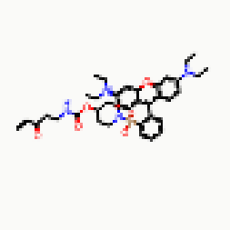 C=CC(=O)CCNC(=O)OC1CCN(S(=O)(=O)c2ccccc2-c2c3ccc(=[N+](CC)CC)cc-3oc3cc(N(CC)CC)ccc23)CC1